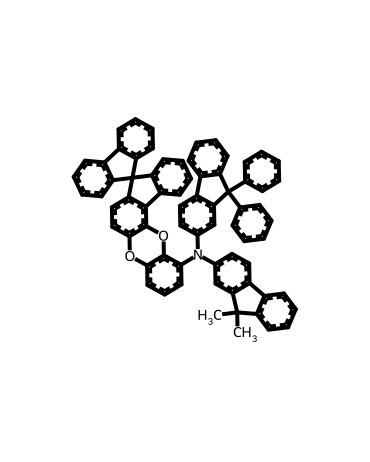 CC1(C)c2ccccc2-c2ccc(N(c3ccc4c(c3)C(c3ccccc3)(c3ccccc3)c3ccccc3-4)c3cccc4c3Oc3c(ccc5c3-c3ccccc3C53c5ccccc5-c5ccccc53)O4)cc21